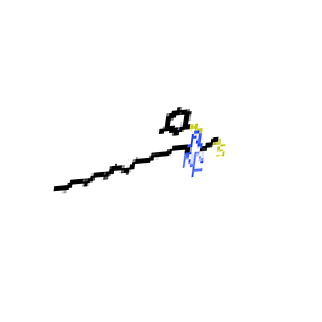 CCCCCCCCCCCCCC1=NNC(C=S)N1Sc1cccc(C)c1